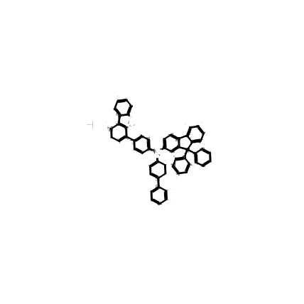 C[C@@H]1CC=C(c2ccc(N(C3=CC=C(c4ccccc4)CC3)c3ccc4c(c3)C(c3ccccc3)(c3ccccc3)c3ccccc3-4)cc2)c2oc3ccccc3c21